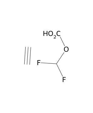 C#C.O=C(O)OC(F)F